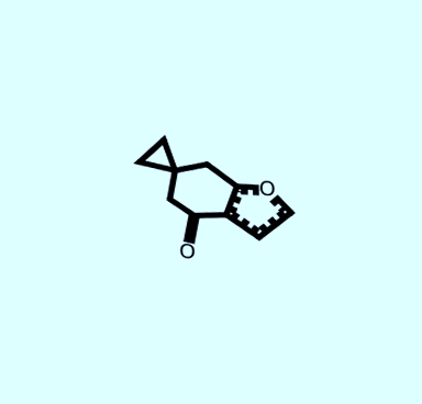 O=C1CC2(CC2)Cc2occc21